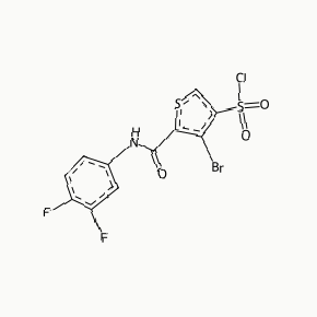 O=C(Nc1ccc(F)c(F)c1)c1scc(S(=O)(=O)Cl)c1Br